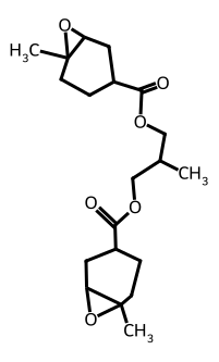 CC(COC(=O)C1CCC2(C)OC2C1)COC(=O)C1CCC2(C)OC2C1